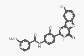 COc1cc(C(=O)Nc2ccc(-c3nc4c(oc5ccc(Br)cc54)c(=O)[nH]3)c(Cl)c2)ccn1